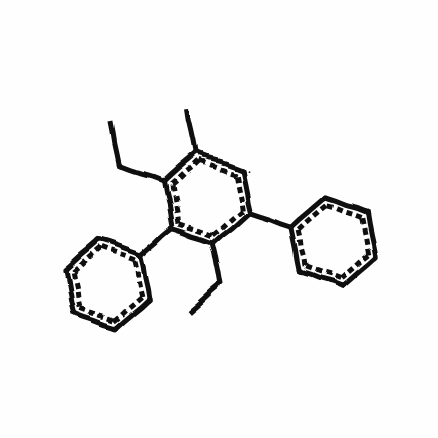 CCc1c(C)[c]c(-c2ccccc2)c(CC)c1-c1ccccc1